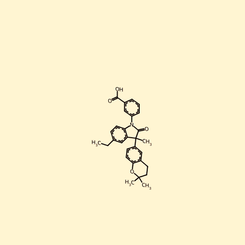 CCc1ccc2c(c1)C(C)(c1ccc3c(c1)CCC(C)(C)O3)C(=O)N2c1cccc(C(=O)O)c1